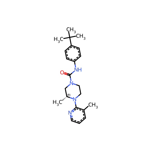 Cc1cccnc1N1CCN(C(=O)Nc2ccc(C(C)(C)C)cc2)C[C@H]1C